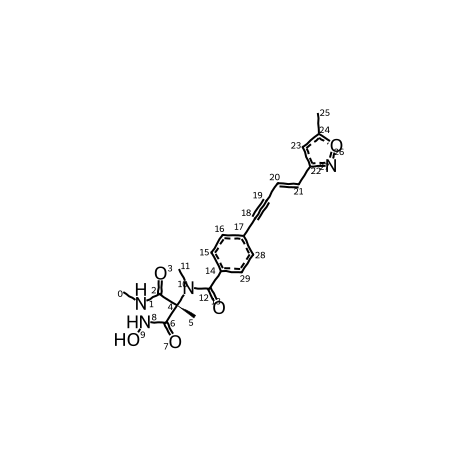 CNC(=O)[C@@](C)(C(=O)NO)N(C)C(=O)c1ccc(C#CC=Cc2cc(C)on2)cc1